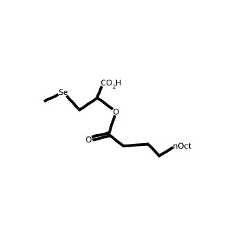 CCCCCCCCCCCC(=O)OC(C[Se]C)C(=O)O